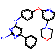 Nc1nc(Nc2ccc(Oc3cc(N4CCOCC4)ccn3)cc2)cc(-c2ccccc2)n1